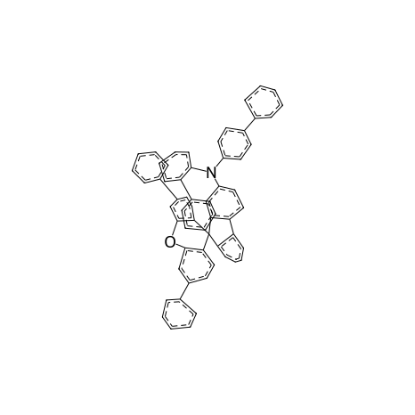 c1ccc(-c2ccc(N(c3ccc4c(c3)C3(c5ccc(-c6ccccc6)cc5Oc5cc(-c6ccccc6)ccc53)c3ccccc3-4)c3ccccc3-c3ccccc3)cc2)cc1